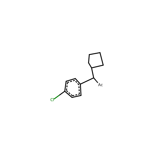 CC(=O)C(c1ccc(Cl)cc1)C1CCCC1